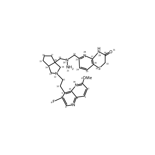 COc1ccc2ncc(F)c(CCN3CC4CCCC4(CN(N)Cc4ccc5c(n4)NC(=O)CS5)C3)c2n1